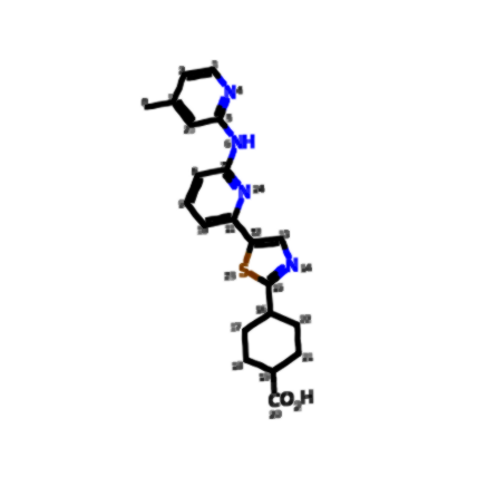 Cc1ccnc(Nc2cccc(-c3cnc(C4CCC(C(=O)O)CC4)s3)n2)c1